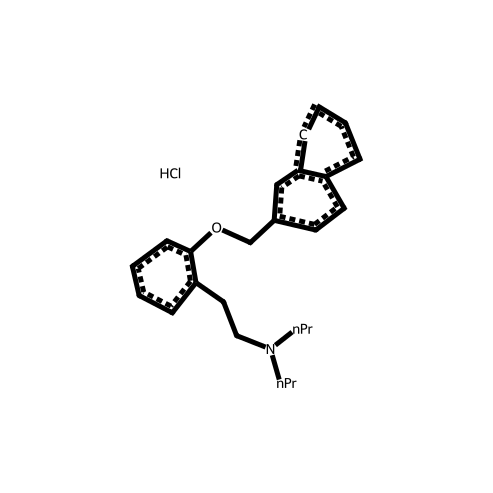 CCCN(CCC)CCc1ccccc1OCc1ccc2ccccc2c1.Cl